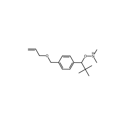 C=CCOCc1ccc(C(O[SiH](C)C)C(C)(C)C)cc1